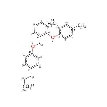 Cc1ccc(Oc2ccccc2COc2ccc(CCC(=O)O)cc2)c(C)c1